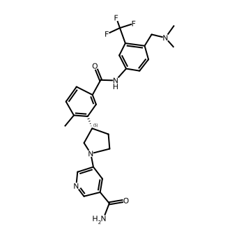 Cc1ccc(C(=O)Nc2ccc(CN(C)C)c(C(F)(F)F)c2)cc1[C@@H]1CCN(c2cncc(C(N)=O)c2)C1